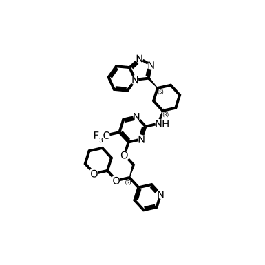 FC(F)(F)c1cnc(N[C@@H]2CCC[C@H](c3nnc4ccccn34)C2)nc1OC[C@H](OC1CCCCO1)c1cccnc1